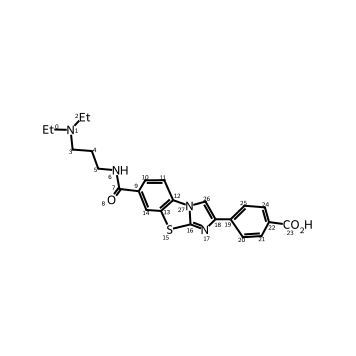 CCN(CC)CCCNC(=O)c1ccc2c(c1)sc1nc(-c3ccc(C(=O)O)cc3)cn12